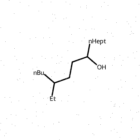 CCCCCCCC(O)CCC(CC)CCCC